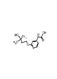 CC(C)(O)CCOc1cc(NC(=O)O)ccn1